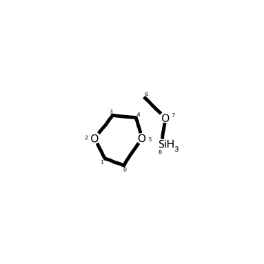 C1COCCO1.CO[SiH3]